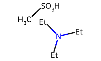 CCN(CC)CC.CS(=O)(=O)O